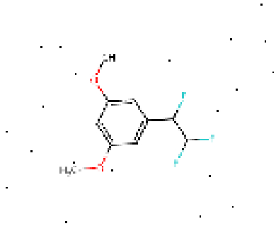 COc1cc(OC)cc(C(F)C(F)F)c1